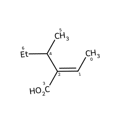 C/C=C(/C(=O)O)C(C)CC